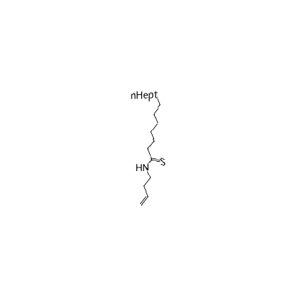 C=CCCNC(=S)CCCCCCCCCCCCC